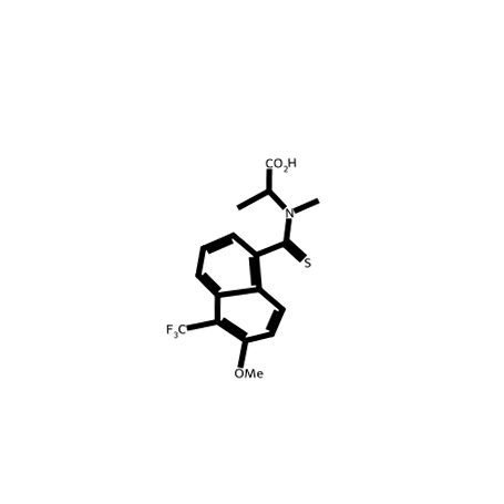 COc1ccc2c(C(=S)N(C)C(C)C(=O)O)cccc2c1C(F)(F)F